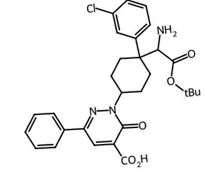 CC(C)(C)OC(=O)C(N)C1(c2cccc(Cl)c2)CCC(n2nc(-c3ccccc3)cc(C(=O)O)c2=O)CC1